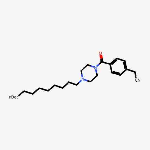 CCCCCCCCCCCCCCCCCCN1CCN(C(=O)c2ccc(CC#N)cc2)CC1